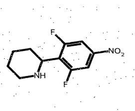 O=[N+]([O-])c1cc(F)c(C2CCCCN2)c(F)c1